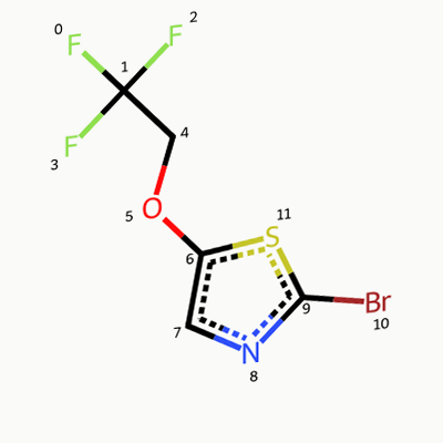 FC(F)(F)COc1cnc(Br)s1